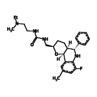 CCN(C)CCNC(=O)NC[C@H]1CC[C@@H]2[C@H](O1)c1cc(C)cc(F)c1N[C@H]2c1ccccc1